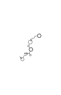 CN1CCCC1CCNC(=O)c1cccc(OC2CCN(CCCc3ccccc3)CC2)c1